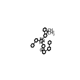 CC1(C)c2ccccc2-c2cc(-c3nc(-c4cccc(-c5ccccc5)c4)nc(-c4ccc5c(c4)oc4cccc(-c6cccc(-c7ccccc7)c6)c45)n3)ccc21